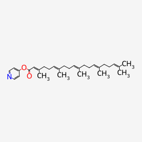 CC(C)=CCC/C(C)=C/CC/C(C)=C/CC/C(C)=C/CC/C(C)=C/C(=O)Oc1ccncc1